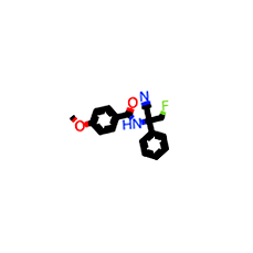 COc1ccc(C(=O)NC(C#N)(CF)c2ccccc2)cc1